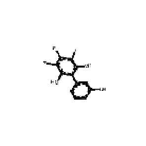 Oc1cccc(-c2c(O)c(F)c(F)c(F)c2O)c1